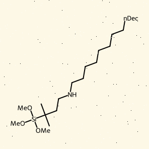 CCCCCCCCCCCCCCCCCCNCCC(C)(C)[Si](OC)(OC)OC